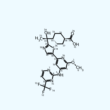 COc1cc(Nc2nccc(C(F)(F)F)n2)cc(-c2cnc([C@](C)(O)[C@H]3CC[C@H](C(=O)O)CC3)s2)n1